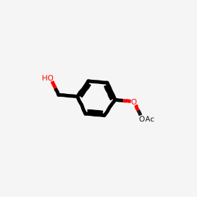 CC(=O)OOc1ccc(CO)cc1